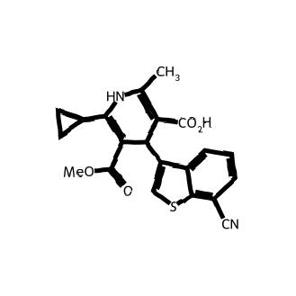 COC(=O)C1=C(C2CC2)NC(C)=C(C(=O)O)C1c1csc2c(C#N)cccc12